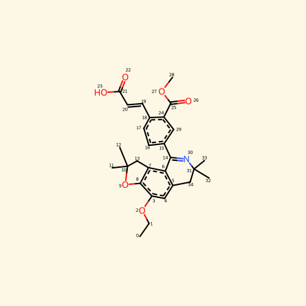 CCOc1cc2c(c3c1OC(C)(C)C3)C(c1ccc(C=CC(=O)O)c(C(=O)OC)c1)=NC(C)(C)C2